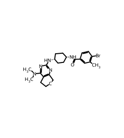 Cc1cc(C(=O)N[C@H]2CC[C@@H](Nc3nc4c(c(N(C)C)n3)CCCC4)CC2)ccc1Br